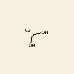 OOO.[Ca]